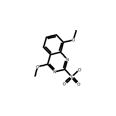 COc1nc(S(=O)(=O)Cl)nc2c(OC)cccc12